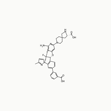 Cc1ccn(-c2cc(-c3cccc(C(=O)O)c3)ccc2[C@@H](Oc2cc(N3CCC4(CC3)CN[C@H](C(=O)O)C4)nc(N)n2)C(F)(F)F)n1